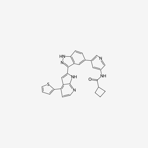 O=C(Nc1cncc(-c2ccc3[nH]nc(-c4cc5c(-c6cccs6)ccnc5[nH]4)c3c2)c1)C1CCC1